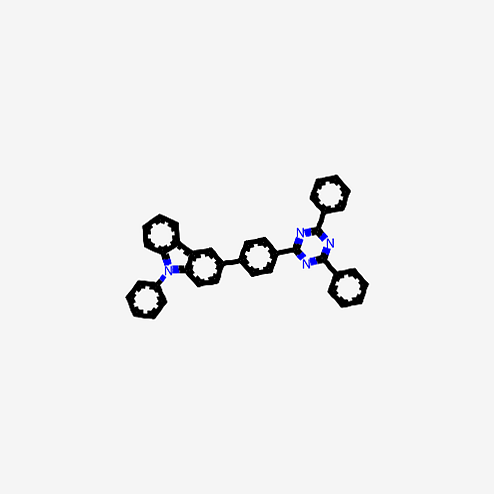 c1ccc(-c2nc(-c3ccccc3)nc(-c3ccc(-c4ccc5c(c4)c4ccccc4n5-c4ccccc4)cc3)n2)cc1